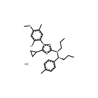 CCC[C@@H](c1ccc(C)cc1)N(CCC)c1nc(C2CC2)n(-c2cc(C)c(OC)cc2Cl)n1.Cl